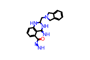 N=NC(=O)c1cccc2c1C(=N)NC(CN1Cc3ccccc3C1)N2